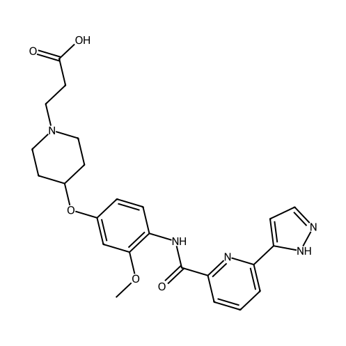 COc1cc(OC2CCN(CCC(=O)O)CC2)ccc1NC(=O)c1cccc(-c2ccn[nH]2)n1